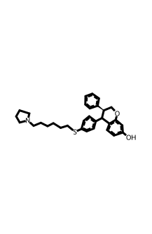 Oc1ccc2c(c1)OC[C@H](c1ccccc1)C2c1ccc(SCCCCCCN2CCCC2)cc1